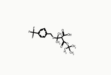 CC(C)(C)OC(=O)C(C(=O)O)C(C)(C)SCc1ccc(C(F)(F)F)cc1